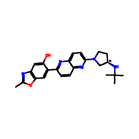 Cc1nc2cc(O)c(-c3ccc4nc(N5CC[C@@H](NC(C)(C)C)C5)ccc4n3)cc2o1